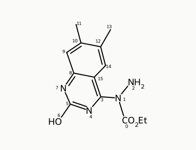 CCOC(=O)N(N)c1nc(O)nc2cc(C)c(C)cc12